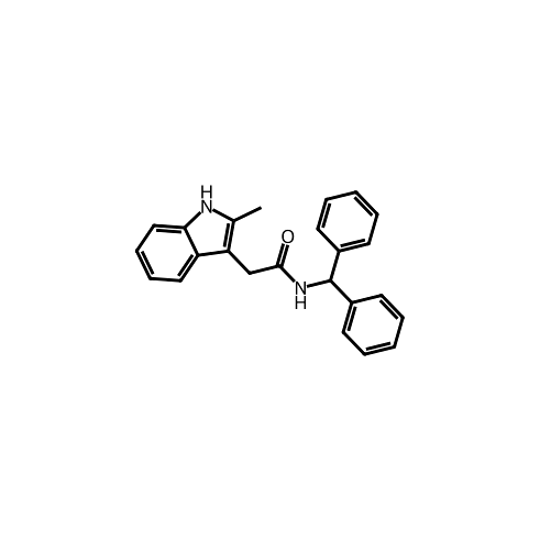 Cc1[nH]c2ccccc2c1CC(=O)NC(c1ccccc1)c1ccccc1